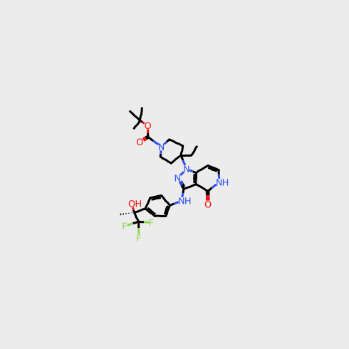 CCC1(n2nc(Nc3ccc([C@](C)(O)C(F)(F)F)cc3)c3c(=O)[nH]ccc32)CCN(C(=O)OC(C)(C)C)CC1